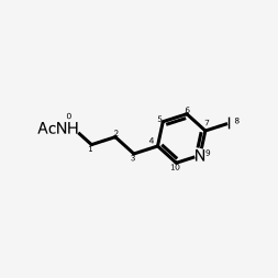 CC(=O)NCCCc1ccc(I)nc1